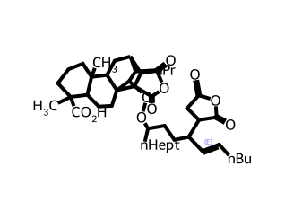 CCCC/C=C/C(CCC(CCCCCCC)OOC1C(C(C)C)C2CC3C4(C)CCCC(C)(C(=O)O)C4CCC13C1C(=O)OC(=O)C21)C1CC(=O)OC1=O